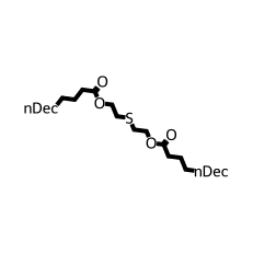 CCCCCCCCCCCCCC(=O)OCCSCCOC(=O)CCCCCCCCCCCCC